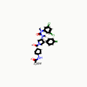 COC(=O)N[C@H]1CC[C@H](C(=O)N2C[C@@H](N(C)C(=O)N(C)c3cc(Cl)cc(Cl)c3)[C@H](c3ccc(F)cc3)C2)CC1